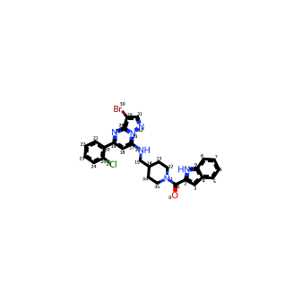 O=C(c1cc2ccccc2[nH]1)N1CCC(CNc2cc(-c3ccccc3Cl)nc3c(Br)cnn23)CC1